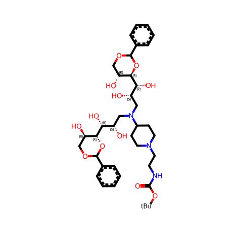 CC(C)(C)OC(=O)NCCN1CCC(N(C[C@H](O)[C@@H](O)[C@@H]2OC(c3ccccc3)OC[C@H]2O)C[C@H](O)[C@@H](O)[C@@H]2OC(c3ccccc3)OC[C@H]2O)CC1